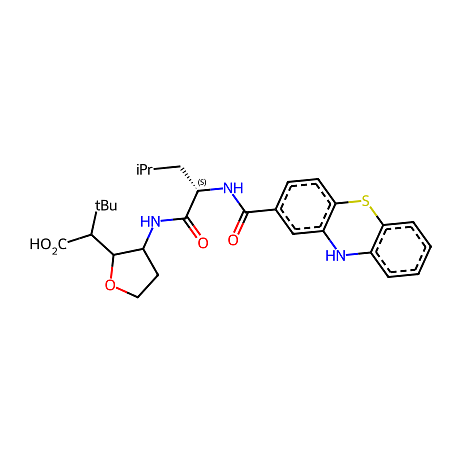 CC(C)C[C@H](NC(=O)c1ccc2c(c1)Nc1ccccc1S2)C(=O)NC1CCOC1C(C(=O)O)C(C)(C)C